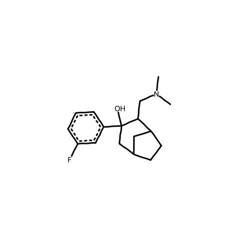 CN(C)CC1C2CCC(C2)CC1(O)c1c[c]cc(F)c1